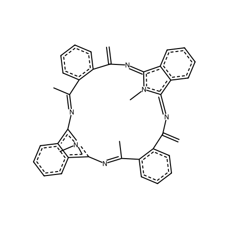 C=C1/N=c2/c3ccccc3/c(n2C)=N/C(=C)c2ccccc2/C(C)=N/c2c3ccccc3c(n2C)/N=C(\C)c2ccccc21